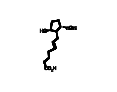 CCCCCCCC[C@H]1CC[C@H](O)[C@@H]1CC=CCCCC(=O)O